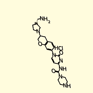 Cl.NC[C@H]1CCN(C2COc3cc(-n4ccc(NC(=O)N5CCNCC5)nc4=O)ccc3C2)C1